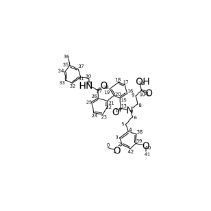 COc1cc(CCN(CCC(=O)O)C(=O)c2ccccc2-c2ccccc2C(=O)NCc2cccc(C)c2)cc(OC)c1